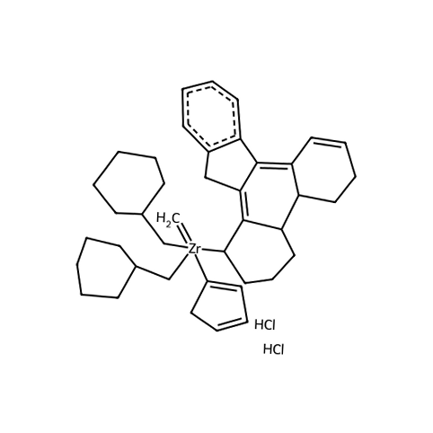 Cl.Cl.[CH2]=[Zr]([CH2]C1CCCCC1)([CH2]C1CCCCC1)([C]1=CC=CC1)[CH]1CCCC2C1=C1Cc3ccccc3C1=C1C=CCCC12